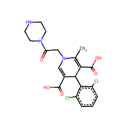 CC1=C(C(=O)O)C(c2c(Cl)cccc2Cl)C(C(=O)O)=CN1CC(=O)N1CCNCC1